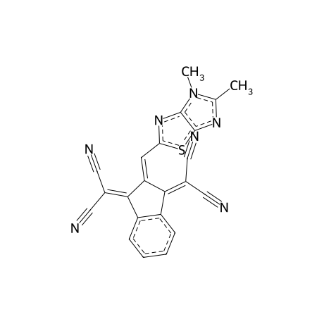 Cc1nc2sc(C=C3C(=C(C#N)C#N)c4ccccc4C3=C(C#N)C#N)nc2n1C